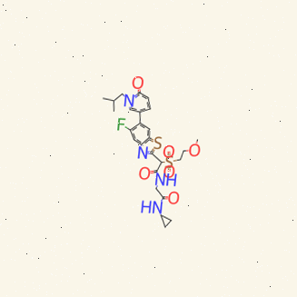 COCCS(=O)(=O)C(C(=O)NCC(=O)NC1CC1)c1nc2cc(F)c(-c3ccc(=O)n(CC(C)C)c3)cc2s1